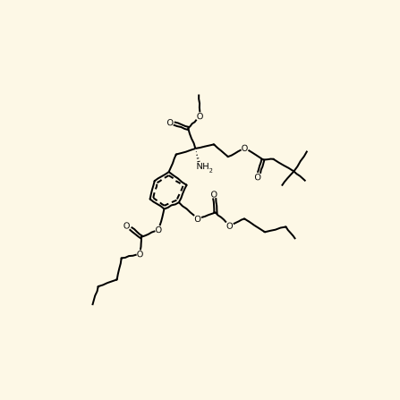 CCCCOC(=O)Oc1ccc(C[C@](N)(CCOC(=O)CC(C)(C)C)C(=O)OC)cc1OC(=O)OCCCC